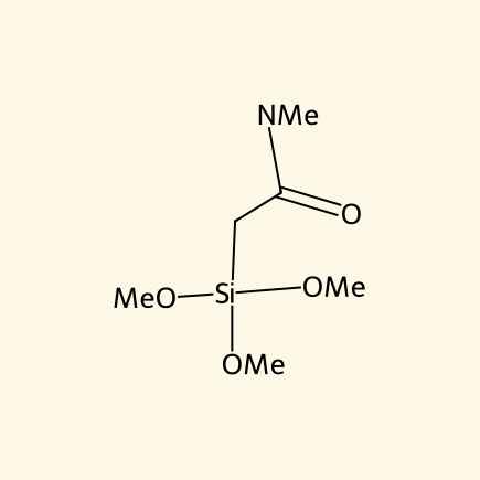 CNC(=O)C[Si](OC)(OC)OC